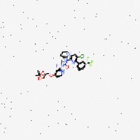 CC1(C)OCC(COc2ccnc(NC(=O)N3c4nc(-c5cccc(C(F)(F)F)c5)c(Cl)cc4N4CCC[C@H]3C4)c2)O1